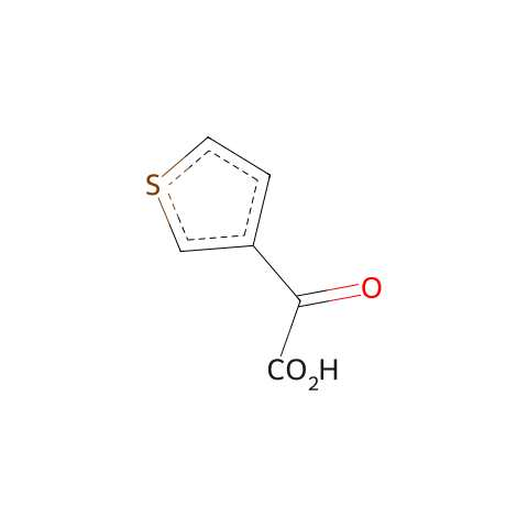 O=C(O)C(=O)c1ccsc1